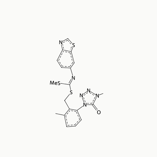 CS/C(=N\c1ccc2ncsc2c1)SCc1c(C)cccc1-n1nnn(C)c1=O